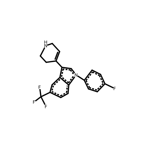 Fc1ccc(-n2cc(C3=CCNCC3)c3cc(C(F)(F)F)ccc32)cc1